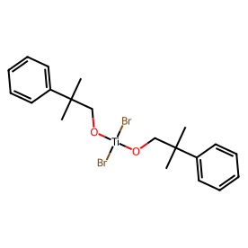 CC(C)(C[O][Ti]([Br])([Br])[O]CC(C)(C)c1ccccc1)c1ccccc1